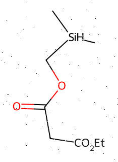 CCOC(=O)CC(=O)OC[SiH](C)C